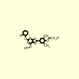 CCCOc1nc(Oc2ccccc2F)nc2oc(-c3cc(C)c(OCC(=O)O)c(C)c3)nc12